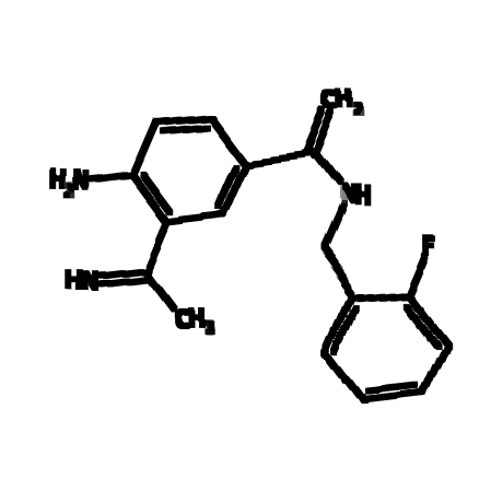 C=C(NCc1ccccc1F)c1ccc(N)c(C(C)=N)c1